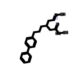 O=C(CC(C/C=N/O)CCCc1ccc(-c2ccccc2)cc1)NO